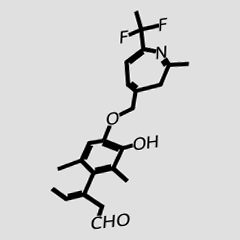 C/C=C(/CC=O)c1c(C)cc(OCC2=CC=C(C(C)(F)F)N=C(C)C2)c(O)c1C